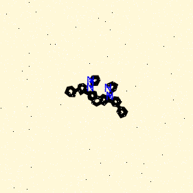 C1=CCCC(C2=Cc3c(n(-c4ccccn4)c4cc5c(cc34)CCc3cc4c6cc(-c7ccccc7)ccc6n(-c6ccccn6)c4cc3-5)CC2)=C1